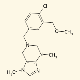 COCc1cc(CN2Cc3c(ncn3C)N(C)C2)ccc1Cl